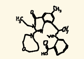 CCn1c(N2CCCOCC2)nc2c(C(C)Nc3ccccc3C(=O)O)cc(C)cc2c1=O